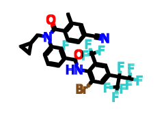 Cc1cc(C#N)ccc1C(=O)N(CC1CC1)c1cccc(C(=O)Nc2c(Br)cc(C(F)(C(F)(F)F)C(F)(F)F)cc2C(F)(F)F)c1F